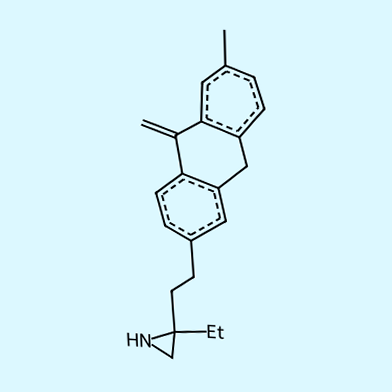 C=C1c2ccc(CCC3(CC)CN3)cc2Cc2ccc(C)cc21